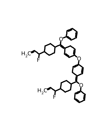 C=CC(F)C1CCC(C(Oc2ccccc2)=C2C=CC(OC3=CCC(=C(Oc4ccccc4)C4CCC(C(F)C=C)CC4)C=C3)=CC2)CC1